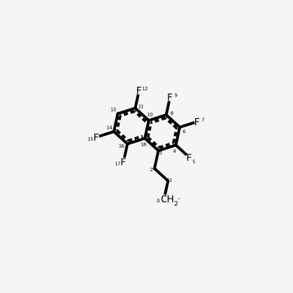 [CH2][CH]Cc1c(F)c(F)c(F)c2c(F)cc(F)c(F)c12